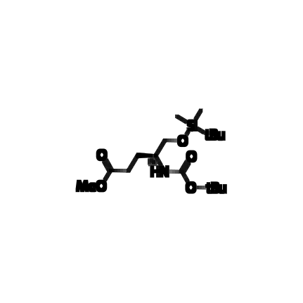 COC(=O)CC[C@@H](CO[Si](C)(C)C(C)(C)C)NC(=O)OC(C)(C)C